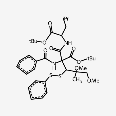 COCC(C)(OC)C(SSc1ccccc1)C(NC(=O)c1ccccc1)(C(=O)NC(CC(C)C)C(=O)OC(C)(C)C)C(=O)OC(C)(C)C